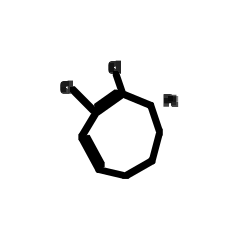 ClC1=C(\Cl)CCCC/C=C\1.[Pt]